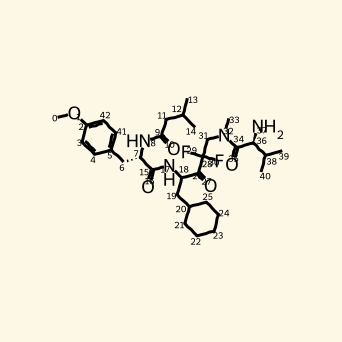 COc1ccc(C[C@H](NC(=O)CC(C)C)C(=O)NC(CC2CCCCC2)C(=O)C(F)(F)CN(C)C(=O)[C@@H](N)C(C)C)cc1